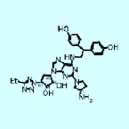 CCc1nnn([C@H]2C[C@@H](n3cnc4c(NCC(c5ccc(O)cc5)c5ccc(O)cc5)nc(N5CC[C@@H](N)C5)nc43)[C@H](O)[C@@H]2O)n1